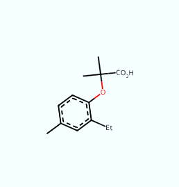 CCc1cc(C)ccc1OC(C)(C)C(=O)O